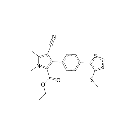 CCOC(=O)c1c(-c2ccc(-c3sccc3SC)cc2)c(C#N)c(C)n1C